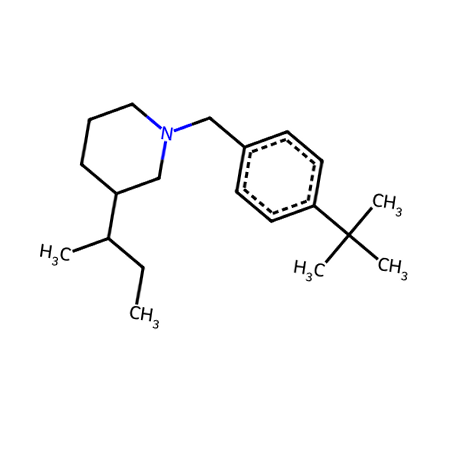 CCC(C)C1CCCN(Cc2ccc(C(C)(C)C)cc2)C1